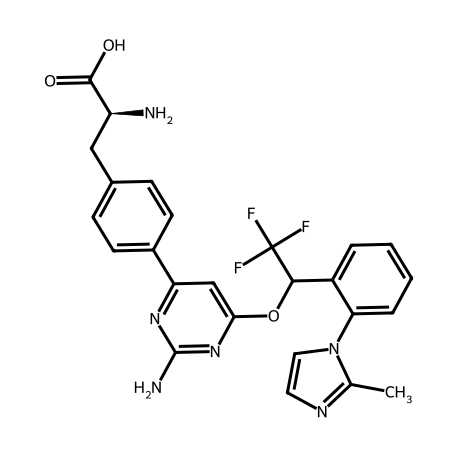 Cc1nccn1-c1ccccc1C(Oc1cc(-c2ccc(C[C@H](N)C(=O)O)cc2)nc(N)n1)C(F)(F)F